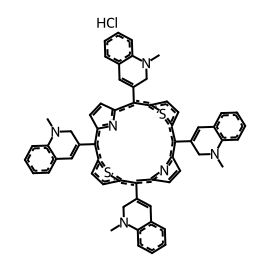 CN1CC(c2c3nc(c(C4=Cc5ccccc5N(C)C4)c4ccc(s4)c(C4=Cc5ccccc5N(C)C4)c4nc(c(C5=Cc6ccccc6N(C)C5)c5ccc2s5)C=C4)C=C3)=Cc2ccccc21.Cl